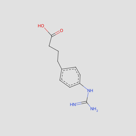 N=C(N)Nc1ccc(CCCC(=O)O)cc1